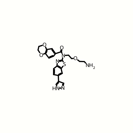 NCCOCCN(C(=O)c1ccc2c(c1)OCCO2)c1nc2ccc(-c3cn[nH]c3)cc2s1